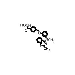 Cc1nc(N(C)c2cccc(OCc3ccc(C(=O)NO)cc3)c2)c2ccccc2n1